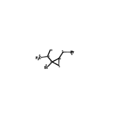 CCC1(C(C)C(F)(F)F)CC1CC(C)C